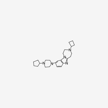 c1cc2nc3n(c2cc1N1CCN(C2CCCC2)CC1)CCN(C1CCC1)CC3